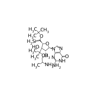 CC(N)CO[C@H]1[C@H](n2cnc3c(=O)[nH]c(N)nc32)O[C@H](C(=[SiH2])OC(C)(C)C)[C@]1(O)C(C)(C)C